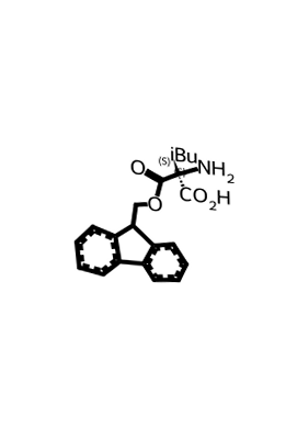 CC[C@H](C)[C@](N)(C(=O)O)C(=O)OCC1c2ccccc2-c2ccccc21